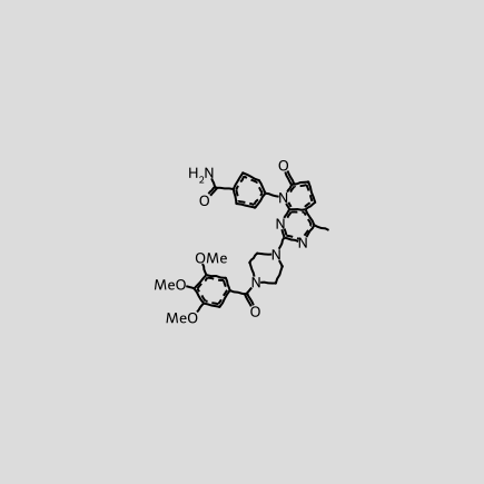 COc1cc(C(=O)N2CCN(c3nc(C)c4ccc(=O)n(-c5ccc(C(N)=O)cc5)c4n3)CC2)cc(OC)c1OC